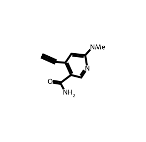 C#Cc1cc(NC)ncc1C(N)=O